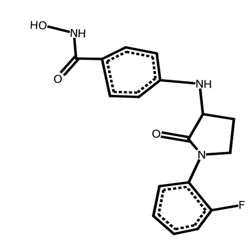 O=C(NO)c1ccc(NC2CCN(c3ccccc3F)C2=O)cc1